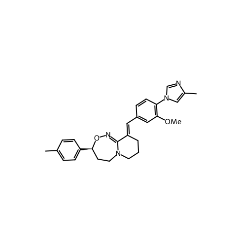 COc1cc(/C=C2\CCCN3CC[C@@H](c4ccc(C)cc4)ON=C23)ccc1-n1cnc(C)c1